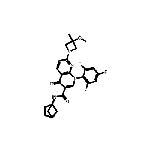 COC1(C)CN(c2ccc3c(=O)c(C(=O)NC45CCC(C4)C5)cn(-c4c(F)cc(F)cc4F)c3n2)C1